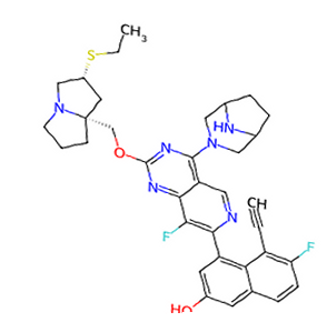 C#Cc1c(F)ccc2cc(O)cc(-c3ncc4c(N5CC6CCC(C5)N6)nc(OC[C@]56CCCN5C[C@H](SCC)C6)nc4c3F)c12